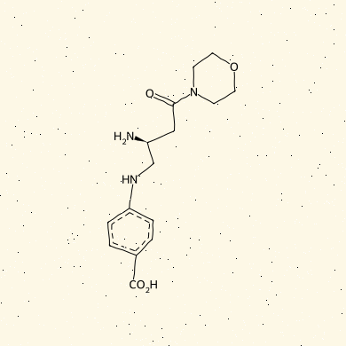 N[C@H](CNc1ccc(C(=O)O)cc1)CC(=O)N1CCOCC1